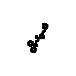 O=C(CCC1CC1(c1ccccc1)c1ccccc1)NCCCCc1cccnc1